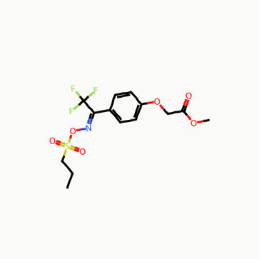 CCCS(=O)(=O)ON=C(c1ccc(OCC(=O)OC)cc1)C(F)(F)F